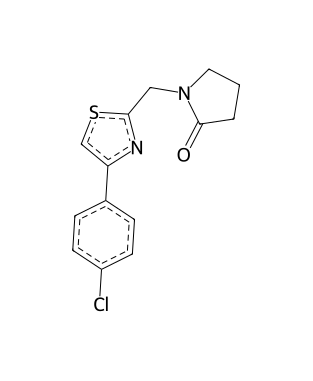 O=C1CCCN1Cc1nc(-c2ccc(Cl)cc2)cs1